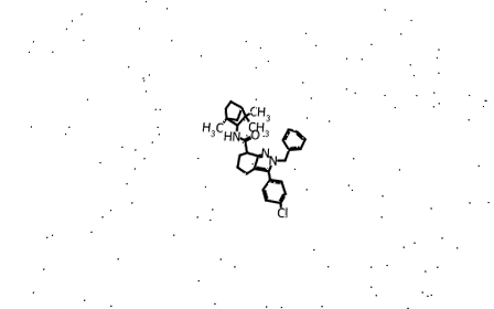 CC12CCC(C1)C(C)(C)C2NC(=O)C1CCCc2c1nn(Cc1ccccc1)c2-c1ccc(Cl)cc1